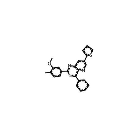 COc1cc(-c2nc(-c3ccccc3)c3ncc(-c4cccs4)cc3n2)ccc1C